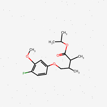 COc1cc(OCC(C)C(C)C(=O)OC(C)C)ccc1F